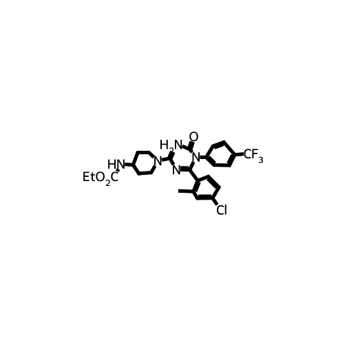 C=C(/N=C(/c1ccc(Cl)cc1C)N(C(N)=O)c1ccc(C(F)(F)F)cc1)N1CCC(NC(=O)OCC)CC1